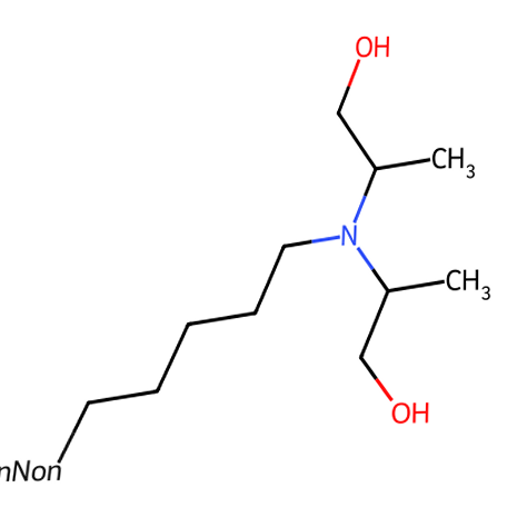 CCCCCCCCCCCCCCN(C(C)CO)C(C)CO